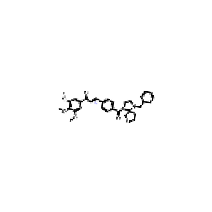 COc1cc(C(=O)/C=C/c2ccc(C(=O)N3CCN(Cc4ccccc4)C34CCOC4)cc2)cc(OC)c1OC